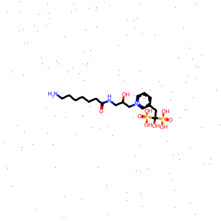 NCCCCCCC(=O)NCC(O)C[n+]1cccc(CC(O)(P(=O)(O)O)P(=O)(O)O)c1